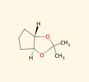 CC1(C)O[C@H]2CCC[C@@H]2O1